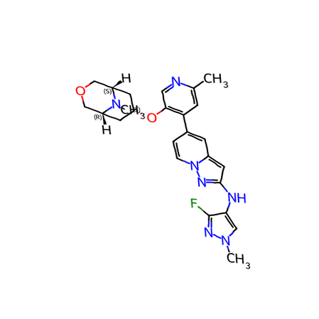 Cc1cc(-c2ccn3nc(Nc4cn(C)nc4F)cc3c2)c(O[C@H]2C[C@H]3COC[C@@H](C2)N3C)cn1